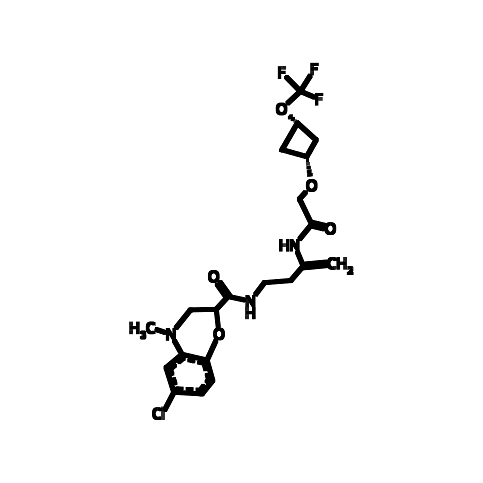 C=C(CCNC(=O)C1CN(C)c2cc(Cl)ccc2O1)NC(=O)CO[C@H]1C[C@@H](OC(F)(F)F)C1